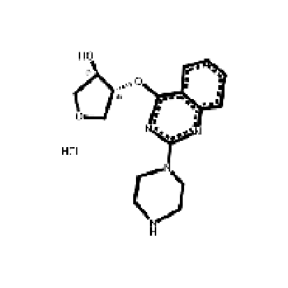 Cl.O[C@@H]1COC[C@H]1Oc1nc(N2CCNCC2)nc2ccccc12